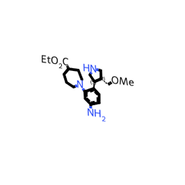 CCOC(=O)C1CCCN(c2cc(N)ccc2[C@H]2CNC[C@@H]2COC)CC1